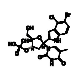 Cc1cn([C@@]2(c3cc4c(Cl)c(Br)ccc4[nH]3)C[C@H](OP(=O)(O)O)[C@@H](CO)O2)c(=O)[nH]c1=O